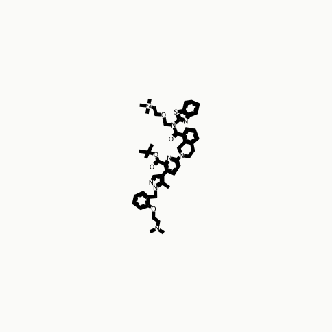 Cc1c(-c2ccc(N3CCc4cccc(C(=O)N(COCC[Si](C)(C)C)c5nc6ccccc6s5)c4C3)nc2C(=O)OC(C)(C)C)cnn1Cc1ccccc1OCCN(C)C